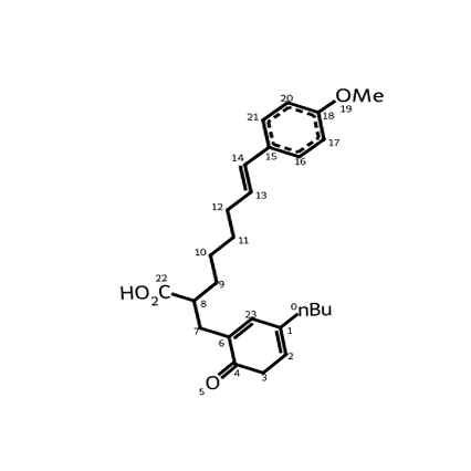 CCCCC1=CCC(=O)C(CC(CCCC/C=C/c2ccc(OC)cc2)C(=O)O)=C1